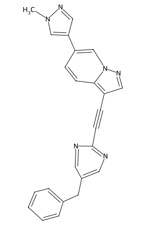 Cn1cc(-c2ccc3c(C#Cc4ncc(Cc5ccccc5)cn4)cnn3c2)cn1